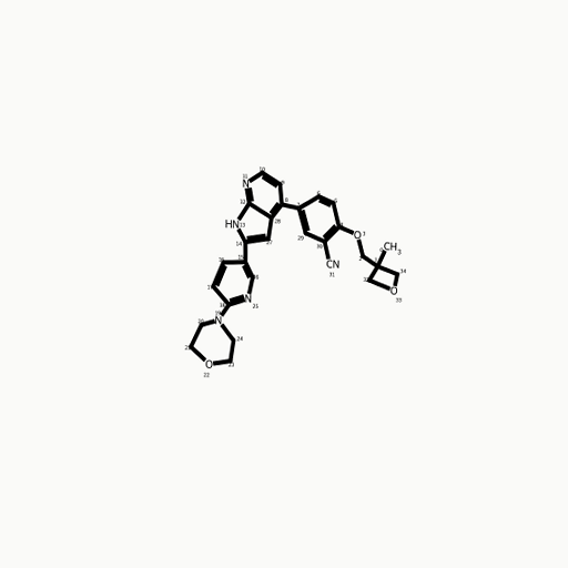 CC1(COc2ccc(-c3ccnc4[nH]c(-c5ccc(N6CCOCC6)nc5)cc34)cc2C#N)COC1